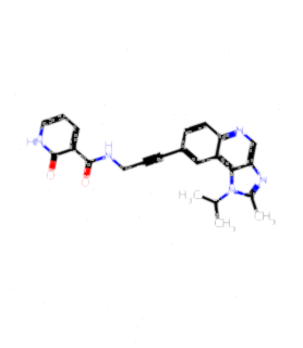 Cc1nc2cnc3ccc(C#CCNC(=O)c4ccc[nH]c4=O)cc3c2n1C(C)C